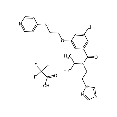 CC(C)N(CCn1cncn1)C(=O)c1cc(Cl)cc(OCCNc2ccncc2)c1.O=C(O)C(F)(F)F